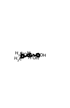 Cc1cc(C)cc(CC2(O)C[C@H]3CN(CC(O)c4ccc(O)cc4)C[C@H]3C2)c1